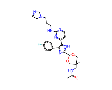 CC(=O)NCC1(C)COC(c2nc(-c3ccc(F)cc3)c(-c3ccnc(NCCCN4CC=NC4)n3)[nH]2)OC1